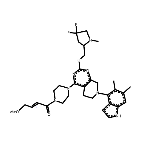 COC/C=C/C(=O)N1CCN(c2nc(OCC3CC(F)(F)CN3C)nc3c2CCN(c2c(C)c(C)cc4[nH]ccc24)C3)CC1